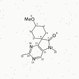 COC1CCC2(CC1)C(=O)N(C)c1cnc(C)nc12